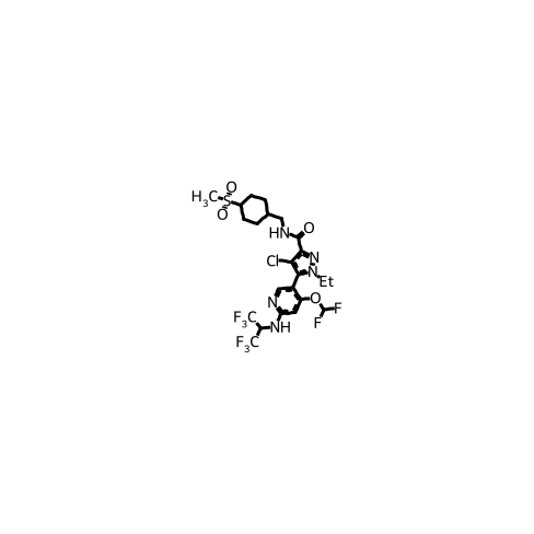 CCn1nc(C(=O)NCC2CCC(S(C)(=O)=O)CC2)c(Cl)c1-c1cnc(NC(C(F)(F)F)C(F)(F)F)cc1OC(F)F